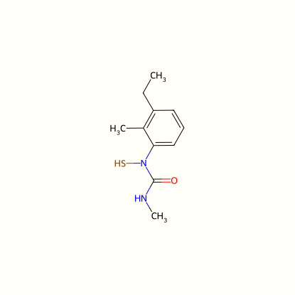 CCc1cccc(N(S)C(=O)NC)c1C